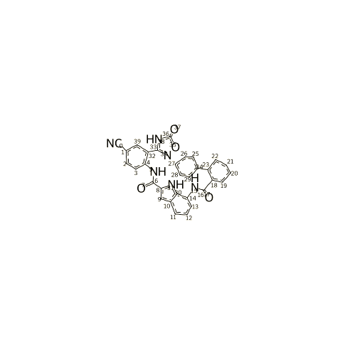 N#Cc1ccc(NC(=O)c2cc3cccc(NC(=O)c4ccccc4-c4ccccc4)c3[nH]2)c(-c2noc(=O)[nH]2)c1